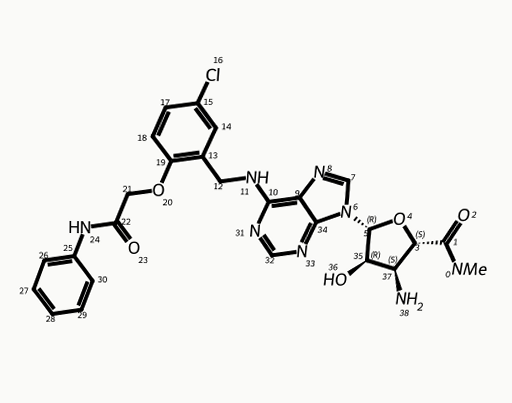 CNC(=O)[C@H]1O[C@@H](n2cnc3c(NCc4cc(Cl)ccc4OCC(=O)Nc4ccccc4)ncnc32)[C@H](O)[C@@H]1N